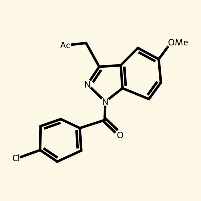 COc1ccc2c(c1)c(CC(C)=O)nn2C(=O)c1ccc(Cl)cc1